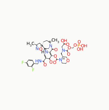 CC1=NO[C@@]2(CC[C@H](C)N3C[C@H]2n2cc(C(=O)NCc4ccc(F)cc4F)c(=O)c(OC(=O)N4CCOC[C@@H]4CN(CC(=O)O)C(=O)OCOP(=O)(O)O)c2C3=O)C1